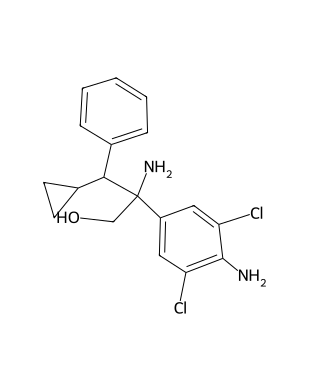 Nc1c(Cl)cc(C(N)(CO)C(c2ccccc2)C2CC2)cc1Cl